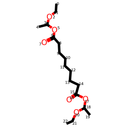 CCOC(C)OC(=O)CCCCCCCC(=O)OC(C)OCC